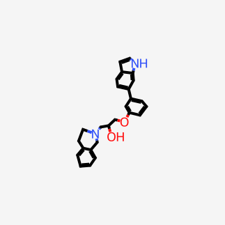 OC(COc1cccc(-c2ccc3cc[nH]c3c2)c1)CN1CCc2ccccc2C1